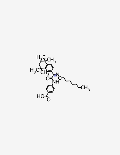 CCCCCCCO/N=C(\C(=O)Nc1ccc(C(=O)O)cc1)c1ccc2c(c1)C(C)(C)CCC2(C)C